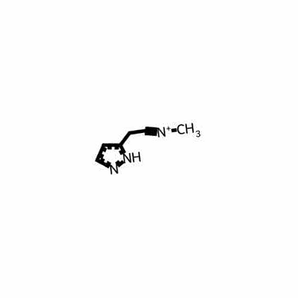 C[N+]#CCc1ccn[nH]1